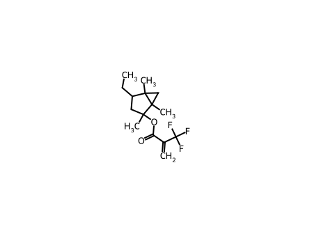 C=C(C(=O)OC1(C)CC(CC)C2(C)CC12C)C(F)(F)F